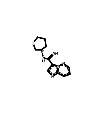 N=C(N[C@@H]1CCCOC1)c1cnc2cccnn12